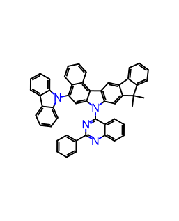 CC1(C)c2ccccc2-c2cc3c4c5ccccc5c(-n5c6ccccc6c6ccccc65)cc4n(-c4nc(-c5ccccc5)nc5ccccc45)c3cc21